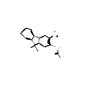 CC(=O)Nc1cc2c(cc1[N+](=O)[O-])-c1ccccc1C2(C)C